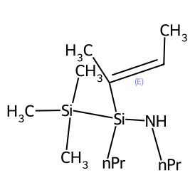 C/C=C(\C)[Si](CCC)(NCCC)[Si](C)(C)C